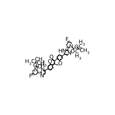 CC(C)(C)OC(=O)N1C[C@H](F)C[C@H]1c1ncc(-c2ccc3c(c2)OCc2c-3c(=O)oc3cc(-c4cnc([C@@H]5C[C@@H](F)CN5C(=O)OC(C)(C)C)[nH]4)ccc23)[nH]1